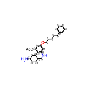 CC(=O)Oc1cc(OCCCCCc2ccccc2)cc2c1C1CC(N)CCC1CN2